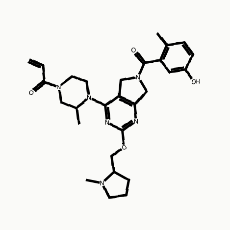 C=CC(=O)N1CCN(c2nc(OCC3CCCN3C)nc3c2CN(C(=O)c2cc(O)ccc2C)C3)C(C)C1